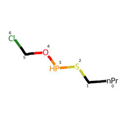 CCCCSPOCCl